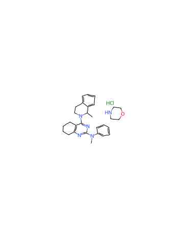 C1COCCN1.CC1c2ccccc2CCN1c1nc(N(C)c2ccccc2)nc2c1CCCC2.Cl